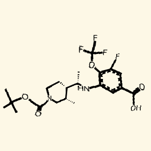 C[C@@H]1CN(C(=O)OC(C)(C)C)CC[C@@H]1[C@H](C)Nc1cc(C(=O)O)cc(F)c1OC(F)(F)F